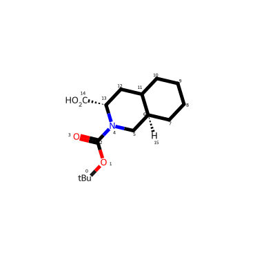 CC(C)(C)OC(=O)N1C[C@@H]2CCCCC2C[C@H]1C(=O)O